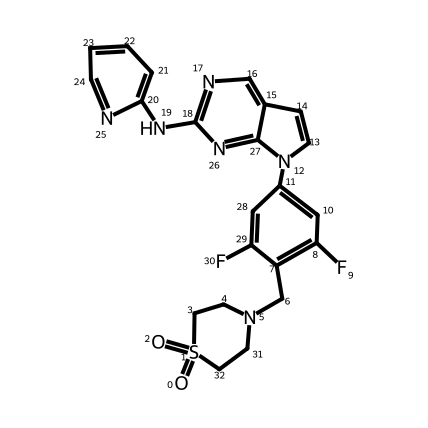 O=S1(=O)CCN(Cc2c(F)cc(-n3ccc4cnc(Nc5ccccn5)nc43)cc2F)CC1